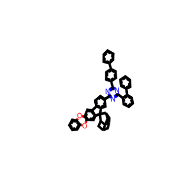 c1ccc(-c2ccc(-c3nc(-c4ccc5c(c4)C4(c6cc7c(cc6-5)Oc5ccccc5O7)C5CC6CC(C5)CC4C6)nc(-c4ccccc4-c4ccccc4)n3)cc2)cc1